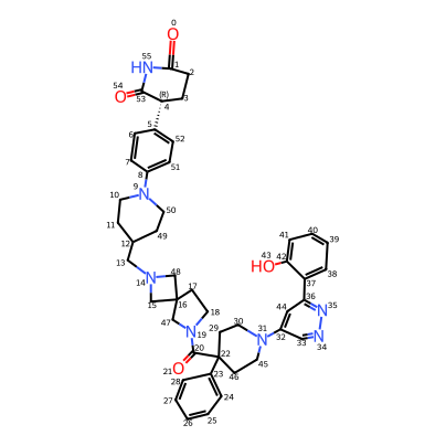 O=C1CC[C@H](c2ccc(N3CCC(CN4CC5(CCN(C(=O)C6(c7ccccc7)CCN(c7cnnc(-c8ccccc8O)c7)CC6)C5)C4)CC3)cc2)C(=O)N1